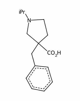 CC(C)N1CCC(Cc2ccccc2)(C(=O)O)C1